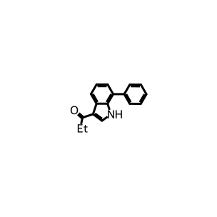 CCC(=O)c1c[nH]c2c(-c3ccccc3)cccc12